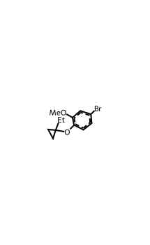 CCC1(Oc2ccc(Br)cc2OC)CC1